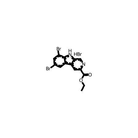 Br.CCOC(=O)c1cc2c(cn1)[nH]c1c(Br)cc(Br)cc12